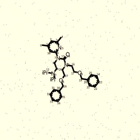 Cc1cc(C)nc(N(CCN(C(C)C)C(C)C)C(=O)N(CCOCc2ccccc2)CCOCc2ccccc2)c1